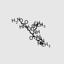 Cn1nnc(CNC(=O)C(CCCCNC(=O)CON)NC(=O)C[N+](C)(C)C)n1